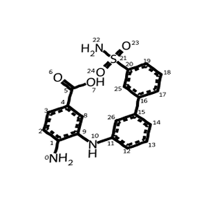 Nc1ccc(C(=O)O)cc1Nc1cccc(-c2cccc(S(N)(=O)=O)c2)c1